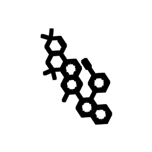 C#Cc1cccc(-c2c(-c3cc4ccc5c(c4cc3C)C(C)(C)CC3=C5C=CC(C)(C)C3)ccc3ccccc23)c1